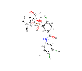 C[C@@H](O)[C@@H](O)[C@@]1(O)C2CC[C@H]1C[C@H](S(=O)(=O)c1cc(C(=O)Nc3cc(F)c(F)c(F)c3)ccc1Cl)C2